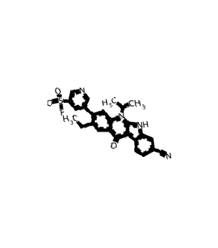 CCc1cc2c(=O)c3c4ccc(C#N)cc4[nH]c3n(C(C)C)c2cc1-c1cncc(S(=O)(=O)F)c1